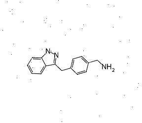 NCc1ccc(CC2=N[N]c3ccccc32)cc1